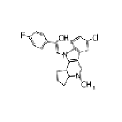 C/C(=C\n1c2c(c3cc(Cl)ccc31)CN(C)C1CCCC21)c1ccc(F)cc1